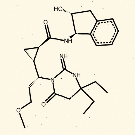 CCC1(CC)CC(=O)N([C@H](CCOC)[C@@H]2C[C@H]2C(=O)N[C@@H]2c3ccccc3C[C@H]2O)C(=N)N1